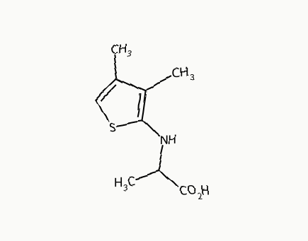 Cc1csc(NC(C)C(=O)O)c1C